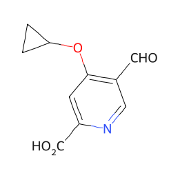 O=Cc1cnc(C(=O)O)cc1OC1CC1